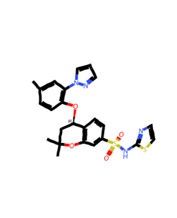 Cc1ccc(O[C@@H]2CC(C)(C)Oc3cc(S(=O)(=O)Nc4nccs4)ccc32)c(-n2cccn2)c1